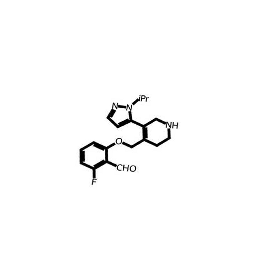 CC(C)n1nccc1C1=C(COc2cccc(F)c2C=O)CCNC1